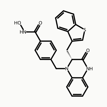 O=C(NO)c1ccc(CN2c3ccccc3NC(=O)[C@H]2Cc2csc3ccccc23)cc1